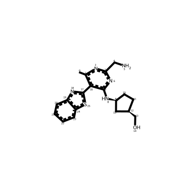 Cc1nc(CN)nc(N[C@H]2CC[C@@H](CO)C2)c1-c1nc2ccccc2s1